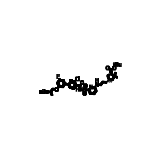 CCCCC(C)COc1cc(F)cc(-c2ccc(C(=O)NS(=O)(=O)c3cccc(NCCC[C@@H]4CN(C(=O)OC(C)(C)C)C(C)(C)C4)n3)c(Cl)n2)c1